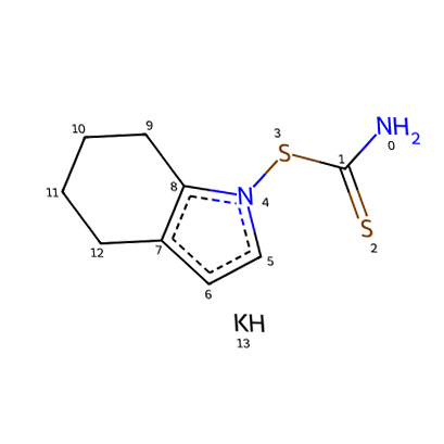 NC(=S)Sn1ccc2c1CCCC2.[KH]